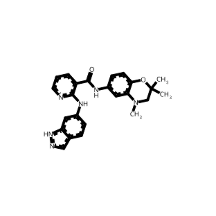 CN1CC(C)(C)Oc2ccc(NC(=O)c3cccnc3Nc3ccc4cn[nH]c4c3)cc21